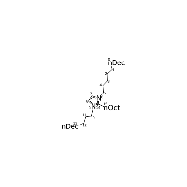 CCCCCCCCCCCCCCCn1cc[n+](CCCCCCCCCCCCC)c1CCCCCCCC